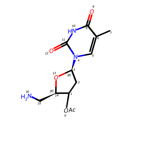 CC(=O)OC1C[C@H](n2cc(C)c(=O)[nH]c2=O)O[C@@H]1CN